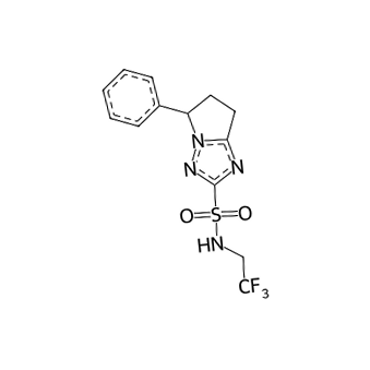 O=S(=O)(NCC(F)(F)F)c1nc2n(n1)C(c1ccccc1)CC2